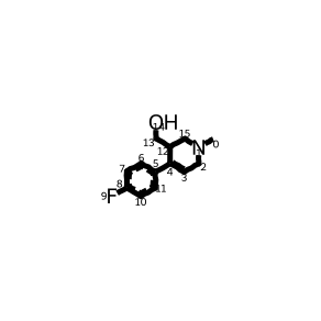 CN1CC=C(c2ccc(F)cc2)C(CO)C1